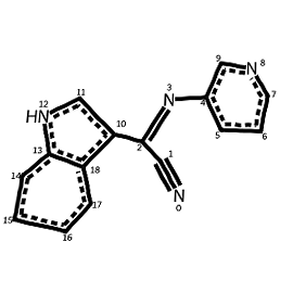 N#C/C(=N\c1cccnc1)c1c[nH]c2ccccc12